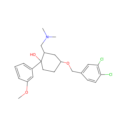 COc1cccc(C2(O)CCC(OCc3ccc(Cl)c(Cl)c3)CC2CN(C)C)c1